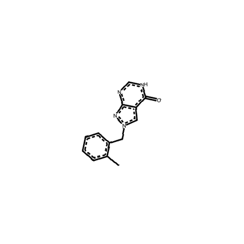 Cc1ccccc1Cn1cc2c(=O)[nH]cnc2n1